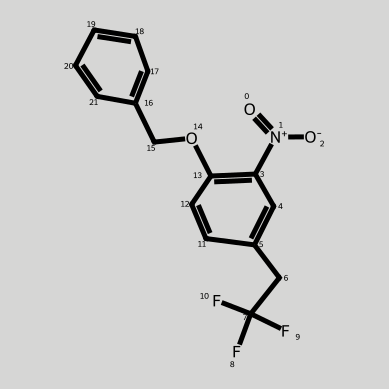 O=[N+]([O-])c1cc(CC(F)(F)F)ccc1OCc1ccccc1